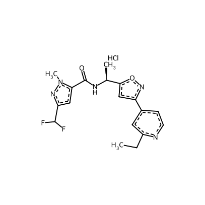 CCc1cc(-c2cc([C@H](C)NC(=O)c3cc(C(F)F)nn3C)on2)ccn1.Cl